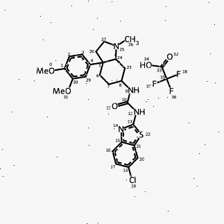 COc1ccc(C23CCC(NC(=O)Nc4nc5ccc(Cl)cc5s4)CC2N(C)CC3)cc1OC.O=C(O)C(F)(F)F